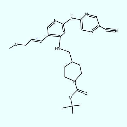 COC/C=C/c1cnc(Nc2cnc(C#N)cn2)cc1NCC1CCN(C(=O)OC(C)(C)C)CC1